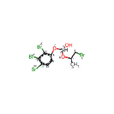 CC(CBr)O[SiH](O)Oc1ccc(Br)c(Br)c1Br